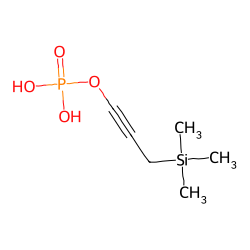 C[Si](C)(C)CC#COP(=O)(O)O